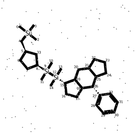 C[Si](C)(C)C[C@@H]1CC[C@H]([Si](C)(C)[Si](C)(C)[C@H]2CCC3C2CC2CCCC2[C@@H]3c2ccccc2)C1